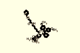 COc1ccc(C(OC[C@@H]2C[C@@H](O[Si](C)(C)C(C)(C)C)CN2C(=O)CCCCCNC(=O)CCSSc2ccccn2)(c2ccccc2)c2ccc(OC)cc2)cc1